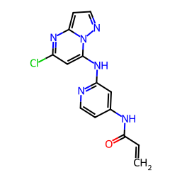 C=CC(=O)Nc1ccnc(Nc2cc(Cl)nc3ccnn23)c1